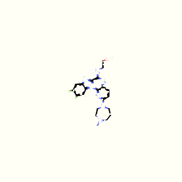 CN1CCCN(c2ccc3nc(NCCO)c4nc5cc(F)c(F)cc5n4c3n2)CC1